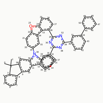 CC1(C)c2ccccc2-c2cc3c4ccccc4n(-c4ccc5oc6cccc(-c7nc(-c8ccccc8)nc(-c8cccc(-c9ccccc9)c8)n7)c6c5c4)c3cc21